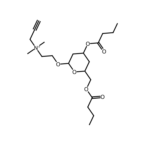 C#CC[N+](C)(C)CCOC1CC(OC(=O)CCC)CC(COC(=O)CCC)O1